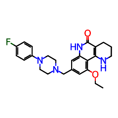 CCOc1cc(CN2CCN(c3ccc(F)cc3)CC2)cc2[nH]c(=O)c3c(c12)NCCC3